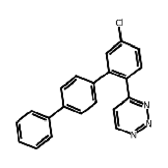 Clc1ccc(-c2ccnnn2)c(-c2ccc(-c3ccccc3)cc2)c1